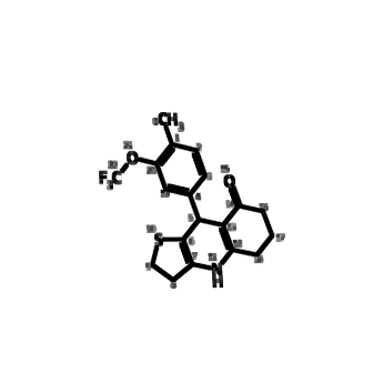 Cc1ccc(C2C3=C(CCS3)NC3=C2C(=O)CCC3)cc1OC(F)(F)F